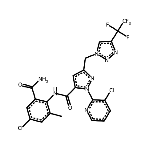 Cc1cc(Cl)cc(C(N)=O)c1NC(=O)c1cc(Cn2cc(C(F)(F)C(F)(F)F)nn2)nn1-c1ncccc1Cl